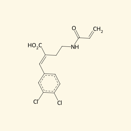 C=CC(=O)NCC/C(=C\c1ccc(Cl)c(Cl)c1)C(=O)O